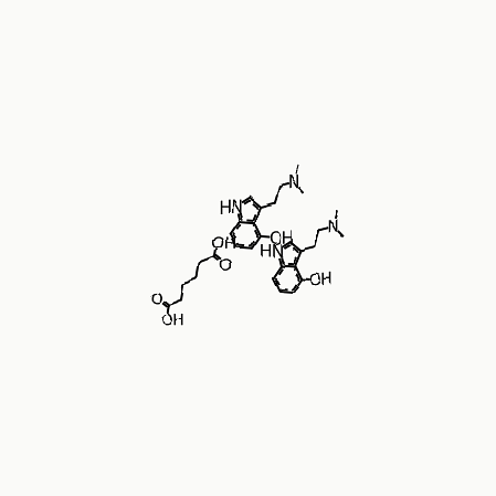 CN(C)CCc1c[nH]c2cccc(O)c12.CN(C)CCc1c[nH]c2cccc(O)c12.O=C(O)CCCCC(=O)O